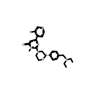 CCN(CC)Cc1ccc([C@H]2CN(c3nc(-c4ccncc4F)cc(=O)n3C)CCO2)cc1